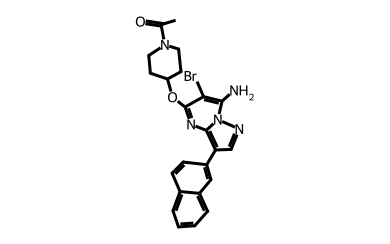 CC(=O)N1CCC(Oc2nc3c(-c4ccc5ccccc5c4)cnn3c(N)c2Br)CC1